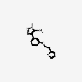 Nc1[nH]nnc1-c1cccc(OCCc2cccs2)c1